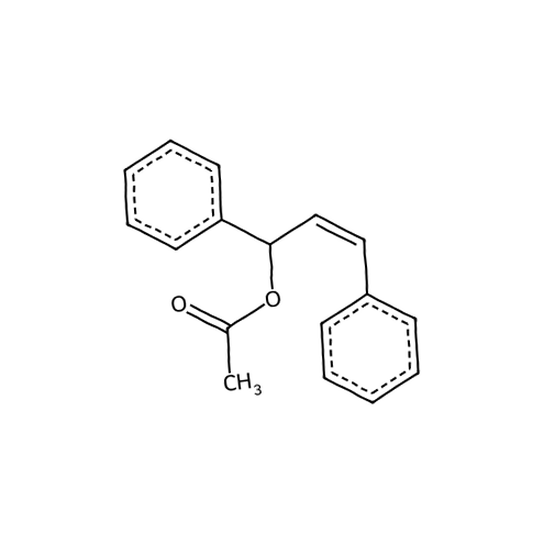 CC(=O)OC(/C=C\c1ccccc1)c1ccccc1